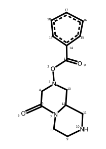 O=C(ON1CC(=O)N2CCNCC2C1)c1ccccc1